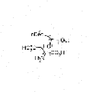 CCCCCCCCCCCC(O)CCCCCCCC.NC(CC(=O)O)C(=O)O